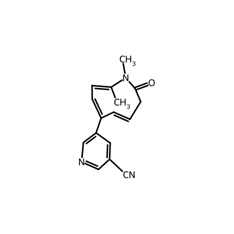 C\C1=C/C=C(c2cncc(C#N)c2)\C=C\CC(=O)N1C